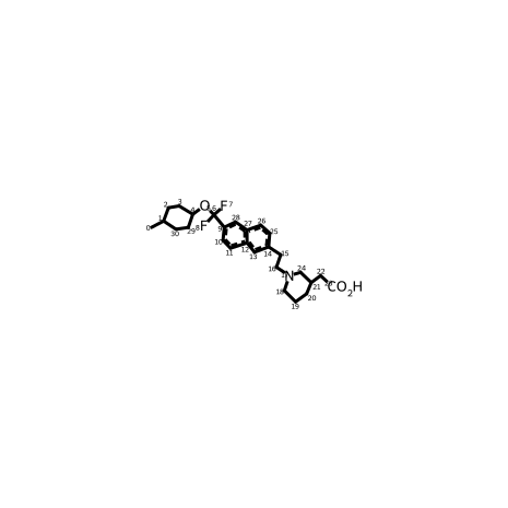 CC1CCC(OC(F)(F)c2ccc3cc(CCN4CCCC(CC(=O)O)C4)ccc3c2)CC1